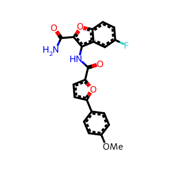 COc1ccc(-c2ccc(C(=O)Nc3c(C(N)=O)oc4ccc(F)cc34)o2)cc1